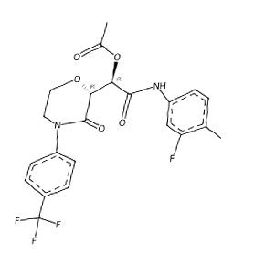 CC(=O)O[C@@H](C(=O)Nc1ccc(C)c(F)c1)[C@H]1OCCN(c2ccc(C(F)(F)F)cc2)C1=O